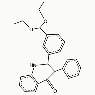 CCOC(OCC)c1cccc(C2Nc3ccccc3C(=O)C2c2ccccc2)c1